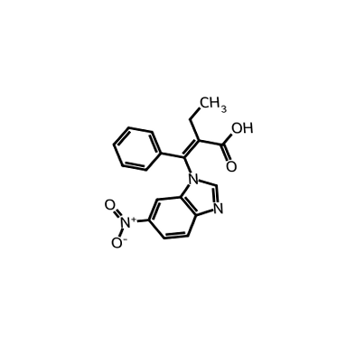 CCC(C(=O)O)=C(c1ccccc1)n1cnc2ccc([N+](=O)[O-])cc21